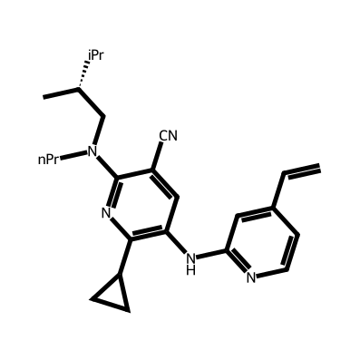 C=Cc1ccnc(Nc2cc(C#N)c(N(CCC)C[C@H](C)C(C)C)nc2C2CC2)c1